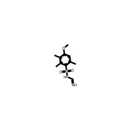 COc1cc(C)c(S(=O)(=O)NC=N)c(C)c1C